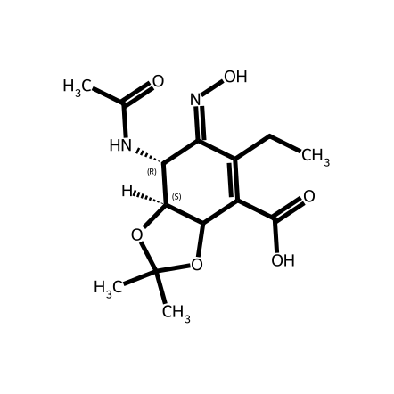 CCC1=C(C(=O)O)C2OC(C)(C)O[C@H]2[C@H](NC(C)=O)C1=NO